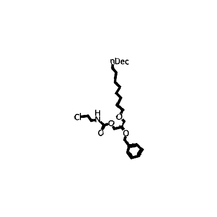 CCCCCCCCCCCCCCCCCCOC[C@H](COC(=O)NCCCl)OCc1ccccc1